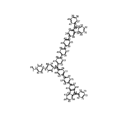 C=Cc1ccc(-c2ccc(N(c3ccc(-c4ccc(-c5ccc(-c6ccc7c(c6)c6ccccc6n7-c6ccccc6)cc5)cc4)cc3)c3ccc(-c4ccc(-c5ccc6c(c5)c5ccccc5n6-c5ccccc5)cc4)cc3)cc2)cc1